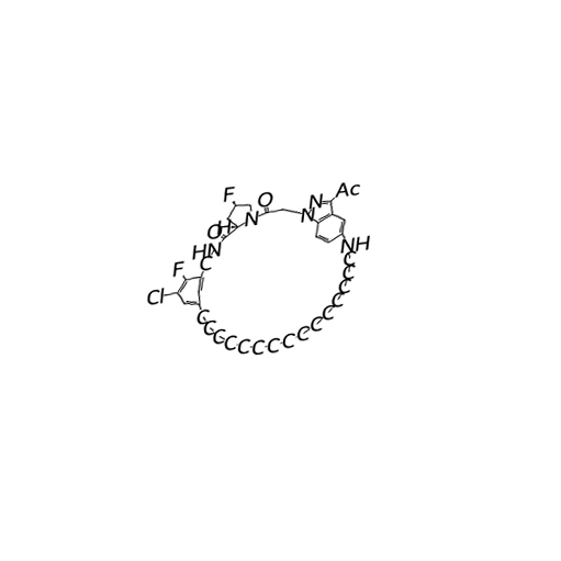 CC(=O)c1nn2c3ccc(cc13)NCCCCCCCCCCCCCCCc1cc(Cl)c(F)c(c1)CNC(=O)[C@@H]1C[C@@H](F)CN1C(=O)C2